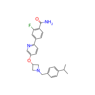 CC(C)c1ccc(CN2CC(Oc3ccc(-c4ccc(C(N)=O)c(F)c4)nc3)C2)cc1